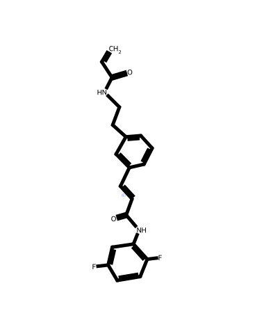 C=CC(=O)NCCc1cccc(/C=C/C(=O)Nc2cc(F)ccc2F)c1